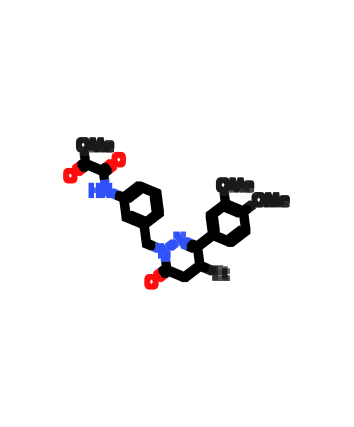 CCC1CC(=O)N(Cc2cccc(NC(=O)C(=O)OC)c2)N=C1c1ccc(OC)c(OC)c1